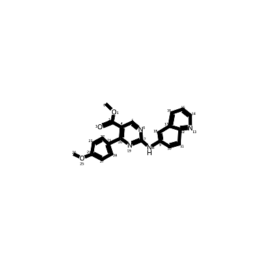 COC(=O)c1cnc(Nc2ccc3ncccc3c2)nc1-c1ccc(OC)cc1